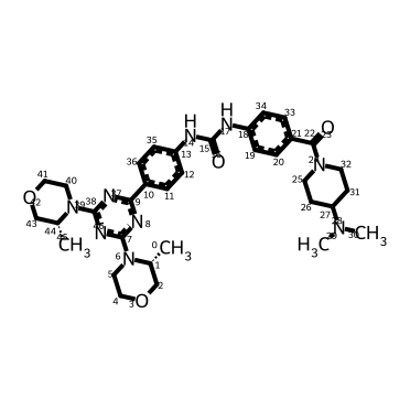 C[C@@H]1COCCN1c1nc(-c2ccc(NC(=O)Nc3ccc(C(=O)N4CCC(N(C)C)CC4)cc3)cc2)nc(N2CCOC[C@H]2C)n1